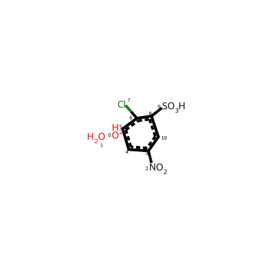 O.O.O=[N+]([O-])c1ccc(Cl)c(S(=O)(=O)O)c1